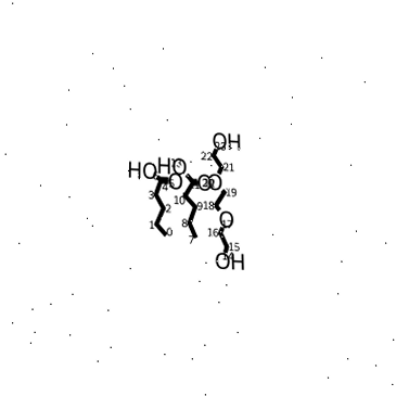 CCCCC(=O)O.CCCCC(=O)O.OCCOCCOCCO